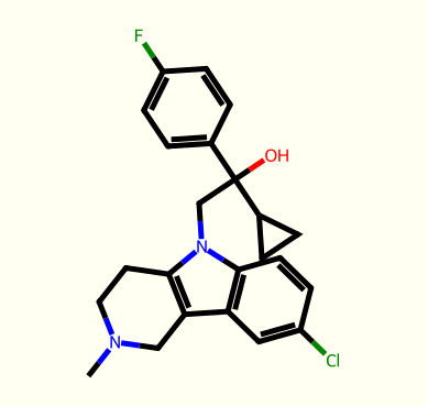 CN1CCc2c(c3cc(Cl)ccc3n2CC(O)(c2ccc(F)cc2)C2CC2)C1